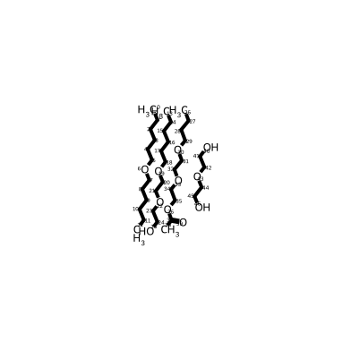 CCCCCCOCCCCCC.CCCCCCOCCOCCO.CCCCOCCOCCOC(C)=O.OCCOCCO